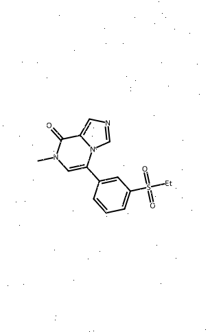 CCS(=O)(=O)c1cccc(-c2cn(C)c(=O)c3cncn23)c1